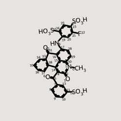 Cn1c(=O)c(C(=O)c2cccc(S(=O)(=O)O)c2)c2c3c(c(Nc4cc(F)c(S(=O)(=O)O)cc4S(=O)(=O)O)ccc31)C(=O)c1ccccc1-2